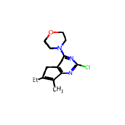 CCC1=C(C)c2nc(Cl)nc(N3CCOCC3)c2C1